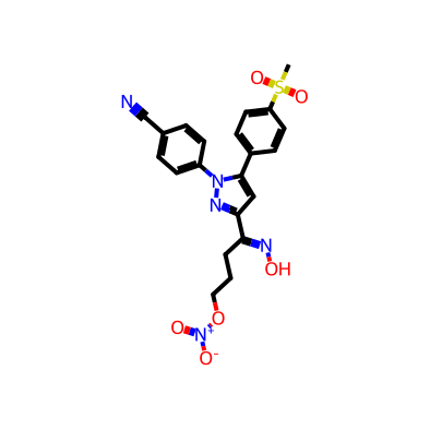 CS(=O)(=O)c1ccc(-c2cc(C(CCCO[N+](=O)[O-])=NO)nn2-c2ccc(C#N)cc2)cc1